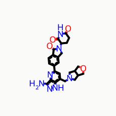 Nc1n[nH]c2c(CN3CC4COCC4C3)cc(-c3ccc4c(c3)CN(C3CCC(=O)NC3=O)C4=O)nc12